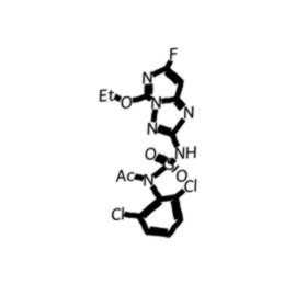 CCOc1nc(F)cc2nc(NS(=O)(=O)N(C(C)=O)c3c(Cl)cccc3Cl)nn12